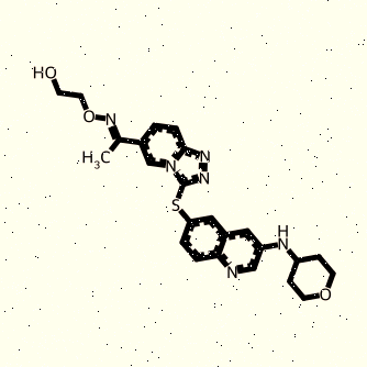 C/C(=N\OCCO)c1ccc2nnc(Sc3ccc4ncc(NC5CCOCC5)cc4c3)n2c1